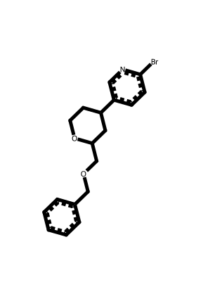 Brc1ccc(C2CCOC(COCc3ccccc3)C2)cn1